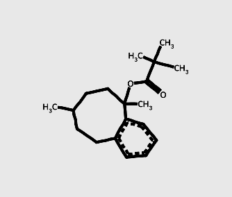 CC1CCc2ccccc2C(C)(OC(=O)C(C)(C)C)CC1